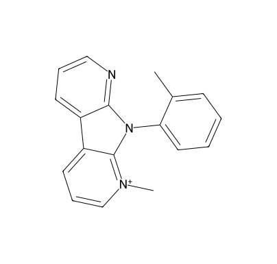 Cc1ccccc1-n1c2ncccc2c2ccc[n+](C)c21